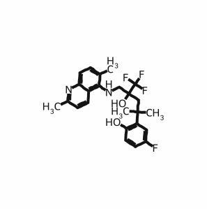 Cc1ccc2c(NCC(O)(CC(C)(C)c3cc(F)ccc3O)C(F)(F)F)c(C)ccc2n1